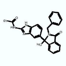 CCC(=O)Nc1nc2cc(C3(O)c4ccccc4C(=O)N3Cc3ccccc3)ccc2[nH]1